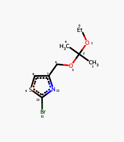 CCOC(C)(C)OCc1csc(Br)n1